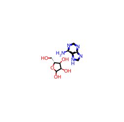 Nc1ncnc2nc[nH]c12.OC[C@H]1OC(O)[C@H](O)[C@@H]1O